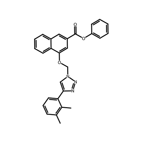 Cc1cccc(-c2cn(COc3cc(C(=O)Oc4ccccc4)cc4ccccc34)nn2)c1C